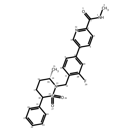 CNC(=O)c1ccc(-c2ccc(CN3[C@@H](C)CCC(c4ccccc4)S3(=O)=O)c(F)c2)cn1